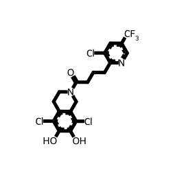 O=C(CCCc1ncc(C(F)(F)F)cc1Cl)N1CCc2c(Cl)c(O)c(O)c(Cl)c2C1